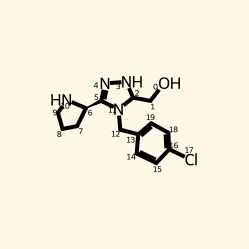 OCC1NN=C([C@H]2CCCN2)N1Cc1ccc(Cl)cc1